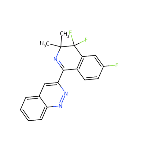 CC1(C)N=C(c2cc3ccccc3nn2)c2ccc(F)cc2C1(F)F